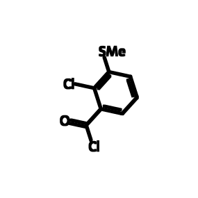 CSc1cccc(C(=O)Cl)c1Cl